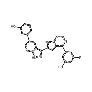 Oc1cncc(-c2cnc3[nH]nc(-c4cc5c(-c6cc(O)cc(F)c6)nccc5[nH]4)c3c2)c1